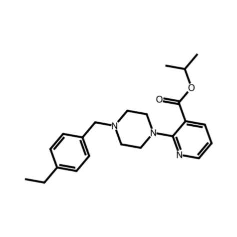 CCc1ccc(CN2CCN(c3ncccc3C(=O)OC(C)C)CC2)cc1